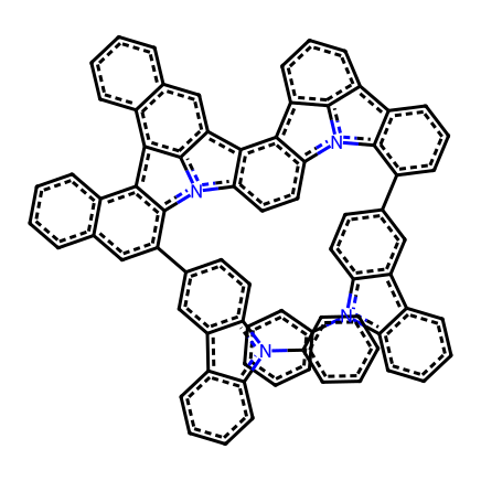 c1ccc(-n2c3ccccc3c3cc(-c4cccc5c6cccc7c8c9c%10cc%11ccccc%11c%11c%12c%13ccccc%13cc(-c%13ccc%14c(c%13)c%13ccccc%13n%14-c%13ccccc%13)c%12n(c9ccc8n(c45)c67)c%10%11)ccc32)cc1